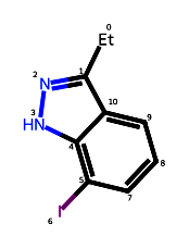 CCc1n[nH]c2c(I)cccc12